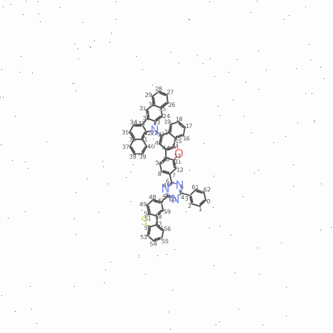 c1ccc(-c2nc(-c3ccc4c(c3)oc3c5ccccc5c(-n5c6cc7ccccc7cc6c6ccc7ccccc7c65)cc43)nc(-c3ccc4sc5ccccc5c4c3)n2)cc1